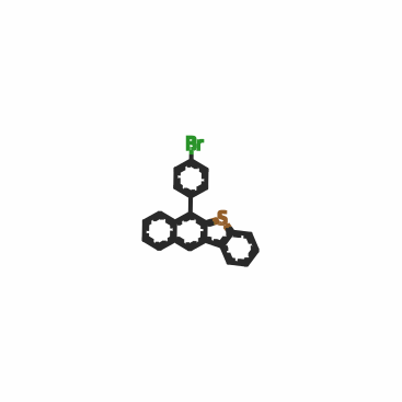 Brc1ccc(-c2c3ccccc3cc3c2sc2ccccc23)cc1